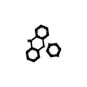 c1ccc2c(c1)Nc1ccccc1S2.c1cnccn1